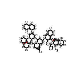 CC(Oc1c(-c2ccc3c(N(c4ccccc4)c4ccc(-c5cccc6ccccc56)cc4-c4ccccc4)cc4c(c3c2)=C=4)cc2ccccc2c1N)c1ccc2ccccc2c1